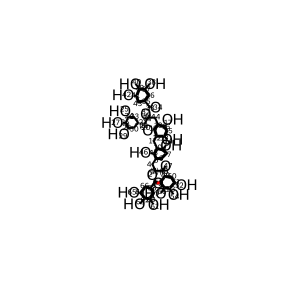 O=C(O[C@@H]1Cc2c(cc(O)c(Cc3c(O)cc(O)c4c3O[C@H](C3C=C(O)C(O)=C(O)C3)[C@H](OC(=O)c3cc(O)c(O)c(O)c3)C4)c2O)O[C@@H]1c1cc(O)c(O)c(O)c1)c1cc(O)c(O)c(O)c1